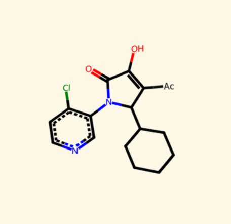 CC(=O)C1=C(O)C(=O)N(c2cnccc2Cl)C1C1CCCCC1